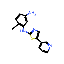 Cc1ccc(N)cc1Nc1ncc(-c2cccnc2)s1